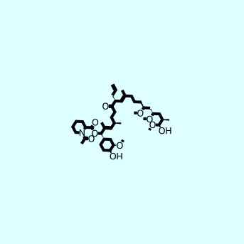 C=CC[C@H](/C=C(\C)CCC[C@@H](C[C@H](C[C@@H](C)[C@@H](O)OC)OC)OC)C(=O)CC[C@@H](C)/C=C(\C)C(OC(=O)C1CCCCN1C(C)=O)[C@H]1CC[C@H](O)[C@@H](OC)C1